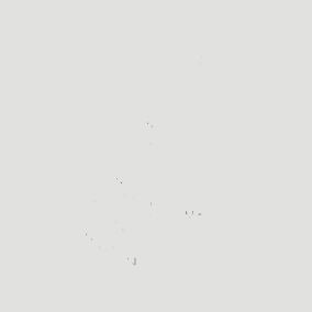 COC[C@]12C[C@H]1[C@@](C)(c1cc(N)cnc1F)N=C(OC(=O)NCOCC[Si](C)(C)C)S2